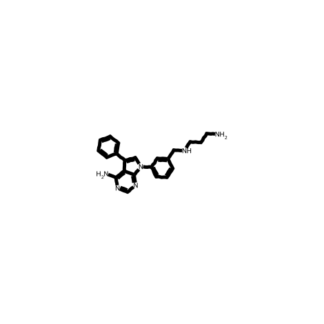 NCCCNCc1cccc(-n2cc(-c3ccccc3)c3c(N)ncnc32)c1